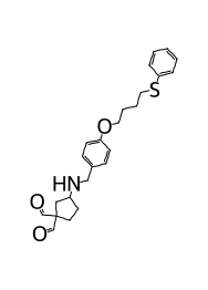 O=CC1(C=O)CCC(NCc2ccc(OCCCCSc3ccccc3)cc2)C1